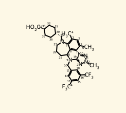 Cc1cc(C)c2c(c1)C(N(Cc1cc(C(F)(F)F)cc(C(F)(F)F)c1)c1nnn(C)n1)CCCN2C[C@H]1CC[C@H](C(=O)O)CC1